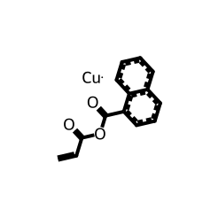 C=CC(=O)OC(=O)c1cccc2ccccc12.[Cu]